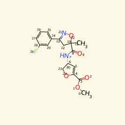 COC(=O)C1=C[C@@H](NC(=O)C2(C)CC(c3cccc(F)c3)=NO2)CO1